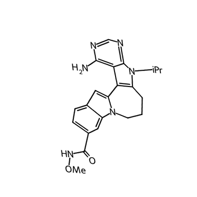 CONC(=O)c1ccc2cc3n(c2c1)CCCc1c-3c2c(N)ncnc2n1C(C)C